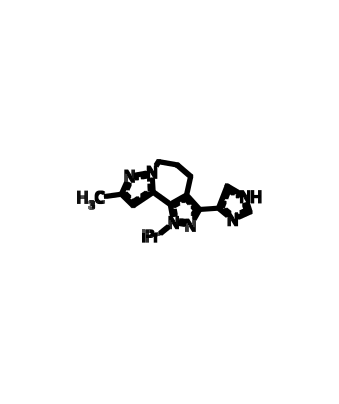 Cc1cc2n(n1)CCCc1c(-c3c[nH]cn3)nn(C(C)C)c1-2